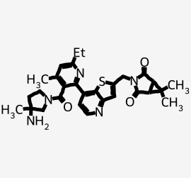 CCc1cc(C)c(C(=O)N2CCC(C)(N)C2)c(-c2ccnc3cc(CN4C(=O)C5C(C4=O)C5(C)C)sc23)n1